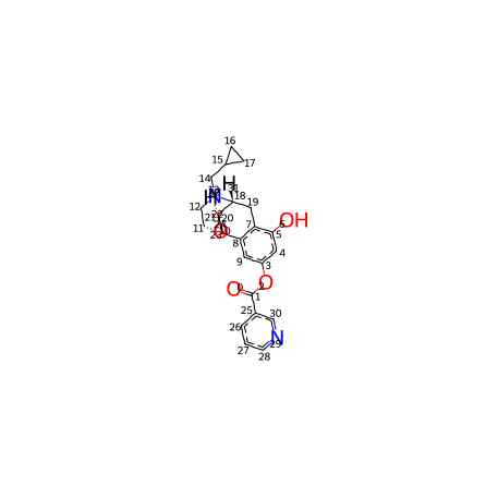 O=C(Oc1cc(O)c2c(c1)[C@]13CCN(CC4CC4)[C@H](C2)[C@@H]1CCOC3)c1cccnc1